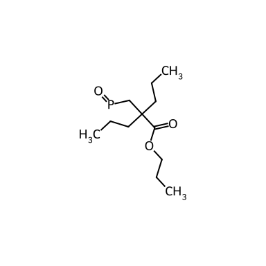 CCCOC(=O)C(CCC)(CCC)CP=O